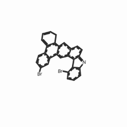 Brc1ccc2c3c(c4cc5ccc6c(c5cc4c2c1)-c1c(Br)cccc1N=6)CC=CC=3